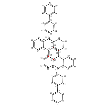 C1=CCCC(C2=CC=C(N(C3C=CC=CC3)C3C=CC=CC3C3C=CC(c4ccccc4N(c4ccc(-c5ccccc5)cc4)C4C=CC=CC4)=CC3)CC2)=C1